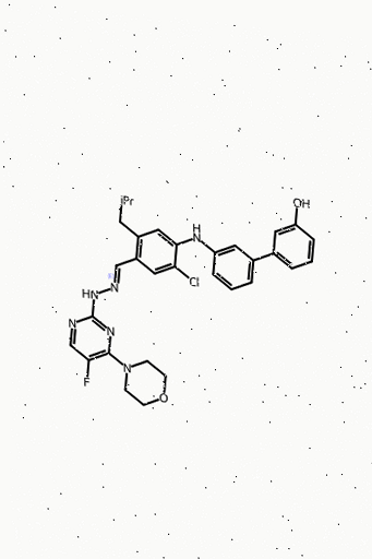 CC(C)Cc1cc(Nc2cccc(-c3cccc(O)c3)c2)c(Cl)cc1/C=N/Nc1ncc(F)c(N2CCOCC2)n1